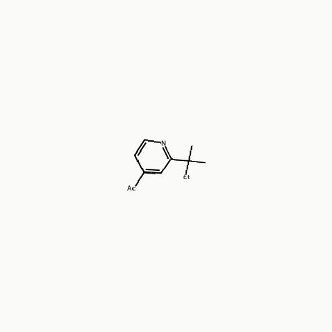 CCC(C)(C)c1cc(C(C)=O)ccn1